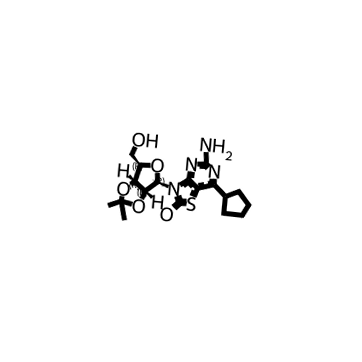 CC1(C)O[C@@H]2[C@H](O1)[C@@H](CO)O[C@H]2n1c(=O)sc2c(C3CCCC3)nc(N)nc21